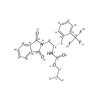 CC(C)COC(=O)N[C@@H](Cc1ccccc1C(F)(F)F)CN1C(=O)c2ccccc2C1=O